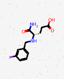 NC(=O)[C@H](CCC(=O)O)NCc1cccc(I)c1